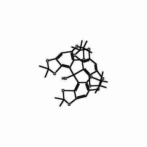 CC1(C)Oc2cc3c(c(C(O)(c4c5c(cc6c4OC(C)(C)O6)OC(C)(C)O5)c4c5c(cc6c4OC(C)(C)O6)OC(C)(C)O5)c2O1)OC(C)(C)O3